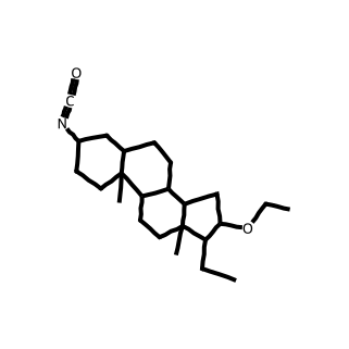 CCOC1CC2C3CCC4CC(N=C=O)CCC4(C)C3CCC2(C)C1CC